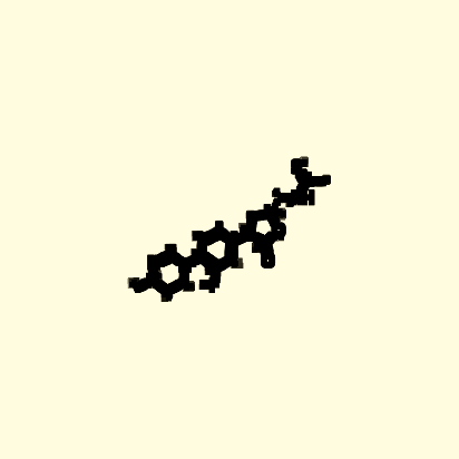 CC(=S)NC[C@H]1CN(c2ccc(N3C=NN(C)CC3)c(F)c2)C(=O)O1